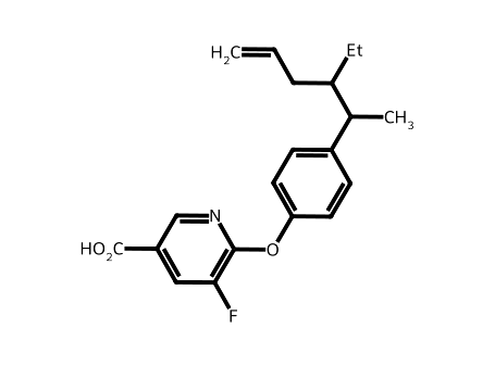 C=CCC(CC)C(C)c1ccc(Oc2ncc(C(=O)O)cc2F)cc1